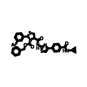 CC(=O)c1cccc(C2SCC(C(=O)Nc3nc(-c4ccc(C(=O)NC5CC5)cc4)cs3)N2C(=O)OCc2ccccc2)c1